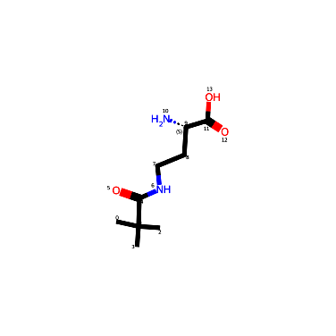 CC(C)(C)C(=O)NCC[C@H](N)C(=O)O